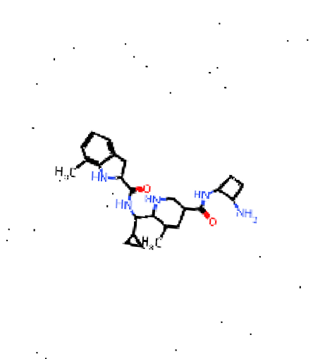 Cc1cccc2c1NC(C(=O)NC(C1CC1)C1NCC(C(=O)NC3CC[C@H]3N)CC1C)C2